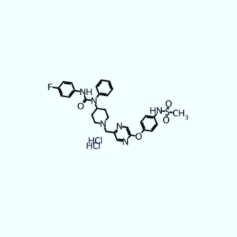 CS(=O)(=O)Nc1ccc(Oc2cnc(CN3CCC(N(C(=O)Nc4ccc(F)cc4)c4ccccc4)CC3)cn2)cc1.Cl.Cl